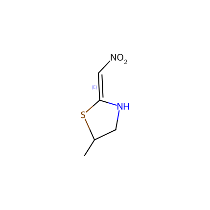 CC1CN/C(=C\[N+](=O)[O-])S1